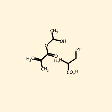 C=C(C)C(=O)OC(C)O.CC(C)CC(N)C(=O)O